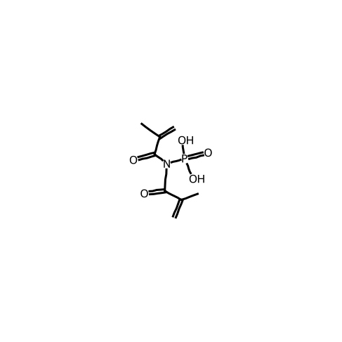 C=C(C)C(=O)N(C(=O)C(=C)C)P(=O)(O)O